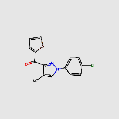 N#Cc1cn(-c2ccc(Cl)cc2)nc1C(=O)c1cccs1